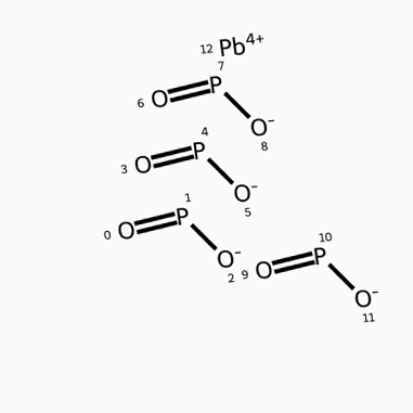 O=P[O-].O=P[O-].O=P[O-].O=P[O-].[Pb+4]